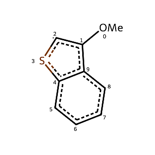 COc1[c]sc2ccccc12